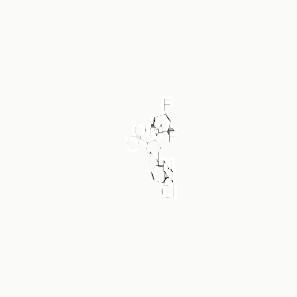 COC(=O)C1CN(c2ccc(Cl)nn2)C[C@H]1C1C=CC(F)=CC1F